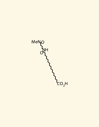 CNC(=O)CCCNC(=O)CCCCCCCCCCCCCCCCCCC(=O)O